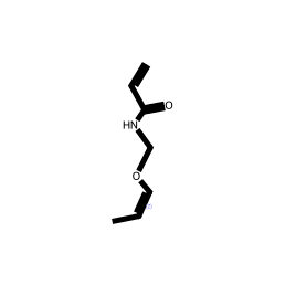 C=CC(=O)NCO/C=C\C